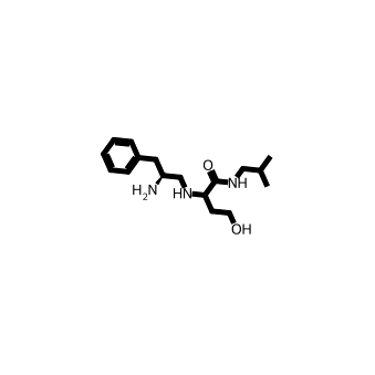 CC(C)CNC(=O)C(CCO)NC[C@@H](N)Cc1ccccc1